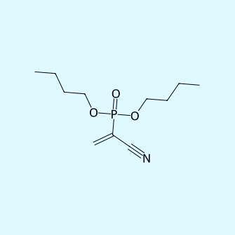 C=C(C#N)P(=O)(OCCCC)OCCCC